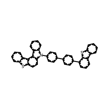 c1ccc2c(c1)sc1c(-c3ccc(-c4ccc(-n5c6ccccc6c6c7c(ccc65)sc5ccccc57)cc4)cc3)cccc12